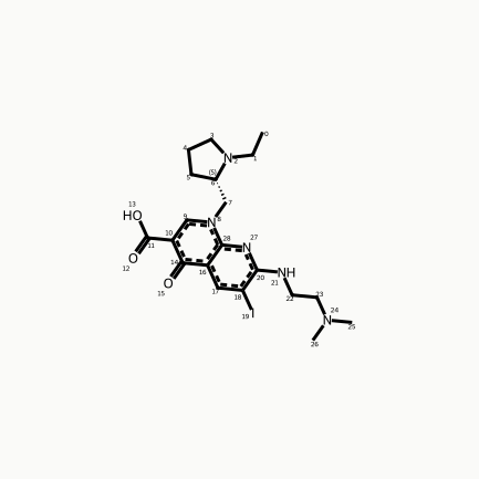 CCN1CCC[C@H]1Cn1cc(C(=O)O)c(=O)c2cc(I)c(NCCN(C)C)nc21